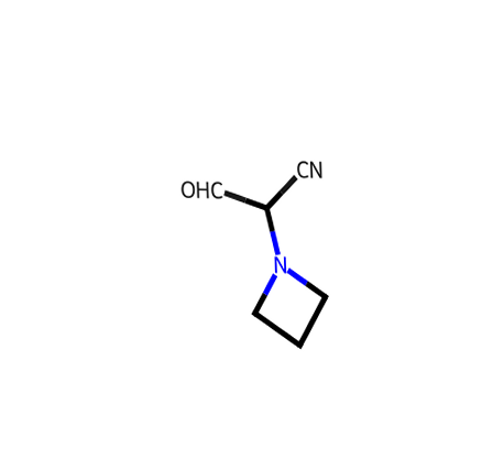 N#CC(C=O)N1CCC1